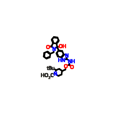 CC(C)(C)C1CC(COC(=O)Nc2nc3cc(C4(O)c5ccccc5C(=O)N4Cc4ccccc4)ccc3[nH]2)CCN1C(=O)O